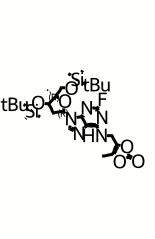 Cc1oc(=O)oc1CNc1nc(F)nc2c1ncn2[C@H]1CC(O[Si](C)(C)C(C)(C)C)[C@@](C)(CO[Si](C)(C)C(C)(C)C)O1